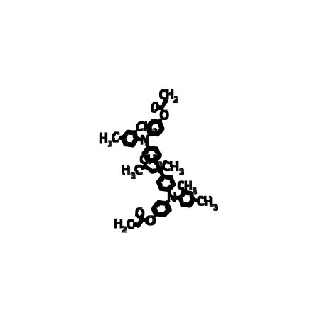 C=CC(=O)Oc1ccc(N(c2ccc(C(C)(CC(C)C)c3ccc(N(c4ccc(OC(=O)C=C)cc4)c4ccc(C)cc4C)cc3)cc2)c2ccc(C)cc2C)cc1